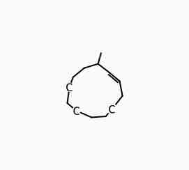 CC1/C=C\CCCCCCCCC1